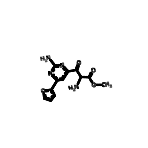 COC(=O)C(N)C(=O)c1cc(-c2ccco2)nc(N)n1